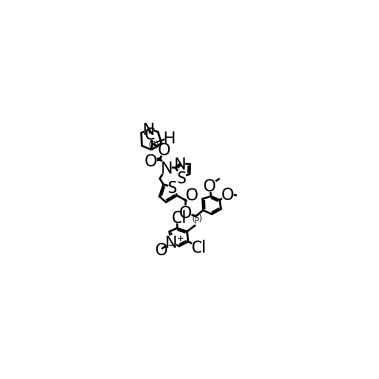 COc1ccc([C@H](Cc2c(Cl)c[n+]([O-])cc2Cl)OC(=O)c2ccc(CN(C(=O)O[C@H]3CN4CCC3CC4)c3nccs3)s2)cc1OC